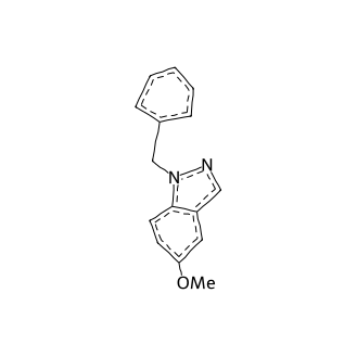 COc1ccc2c(cnn2Cc2ccccc2)c1